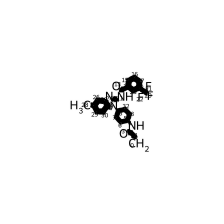 C=CC(=O)N[C@H]1CC[C@@H](n2c(NC(=O)c3cccc(C(F)(F)F)c3)nc3cc(C)ccc32)CC1